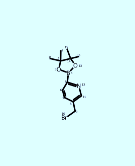 CC1(C)OB(c2ccc(CBr)cn2)OC1(C)C